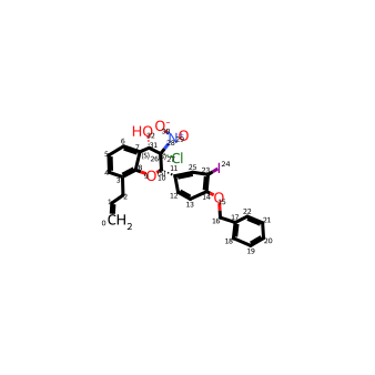 C=CCc1cccc2c1O[C@@H](c1ccc(OCc3ccccc3)c(I)c1)[C@](Cl)([N+](=O)[O-])[C@H]2O